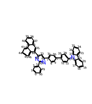 c1ccc(-c2nc(-c3ccc(-c4ccc(-n5c6ccccc6c6ccccc65)cc4)cc3)cc(-c3cc4ccccc4c4ccccc34)n2)cc1